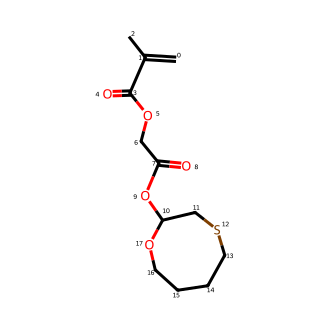 C=C(C)C(=O)OCC(=O)OC1CSCCCCO1